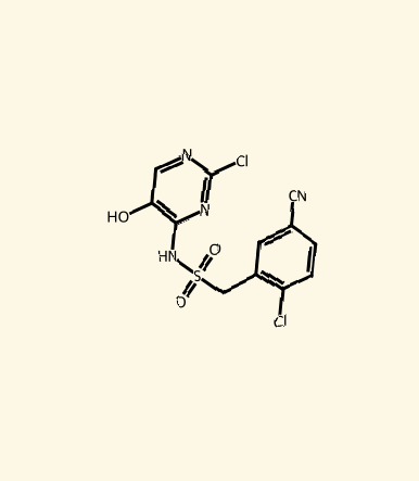 N#Cc1ccc(Cl)c(CS(=O)(=O)Nc2nc(Cl)ncc2O)c1